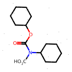 O=C(O)N(C(=O)OC1CCCCC1)C1CCCCC1